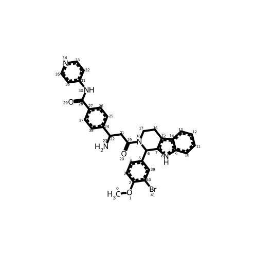 COc1ccc(C2c3[nH]c4ccccc4c3CCN2C(=O)CC(N)c2ccc(C(=O)Nc3ccncc3)cc2)cc1Br